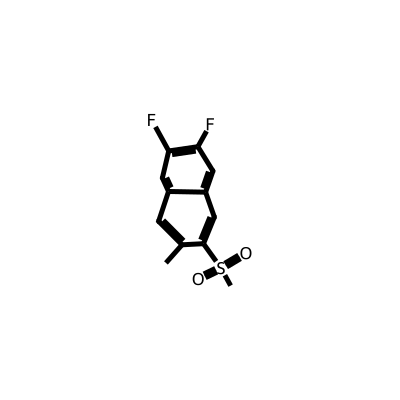 Cc1cc2cc(F)c(F)cc2cc1S(C)(=O)=O